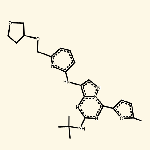 Cc1ccc(-c2nc(NC(C)(C)C)nc3c(Nc4cccc(CO[C@H]5CCOC5)n4)cnn23)o1